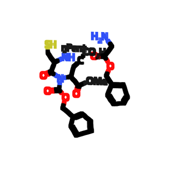 CCCCCNC(CS)C(=O)N(C(=O)OCc1ccccc1)C(CCC(=O)O)C(=O)OC.NCC(=O)OCc1ccccc1